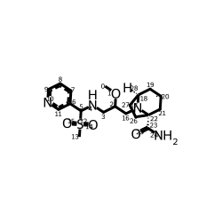 COC(CNC(c1cccnc1)S(C)(=O)=O)CN1[C@@H]2C[CH]C[C@@]1(C(N)=O)CC2